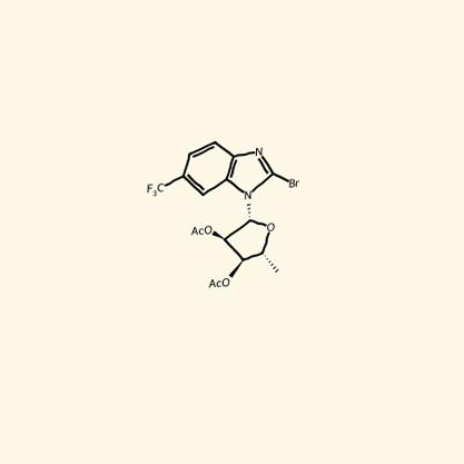 CC(=O)O[C@@H]1[C@H](OC(C)=O)[C@@H](C)O[C@H]1n1c(Br)nc2ccc(C(F)(F)F)cc21